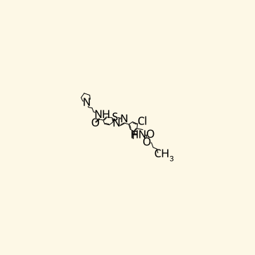 CCCCOC(=O)NCc1c(F)cc(-c2cn3c(n2)sc2cc(C(=O)NCCCN4CCCCC4)ccc23)cc1Cl